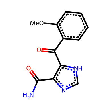 COc1ccccc1C(=O)c1[nH]cnc1C(N)=O